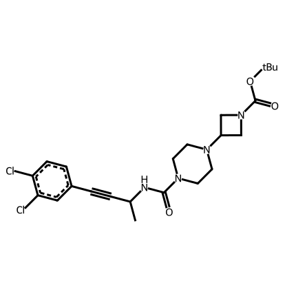 CC(C#Cc1ccc(Cl)c(Cl)c1)NC(=O)N1CCN(C2CN(C(=O)OC(C)(C)C)C2)CC1